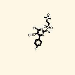 CC(C)c1nc(N(C)S(=O)(=O)CCP(C)(C)=O)nc(-c2ccc(F)cc2)c1C=O